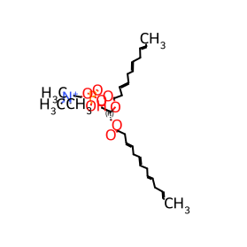 CC=CCC=CCC=CCC=CCC(=O)OC[C@H](COP(=O)(O)OCC[N+](C)(C)C)OC(=O)CC=CCC=CCC=CC